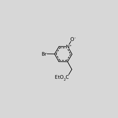 CCOC(=O)Cc1cc(Br)c[n+]([O-])c1